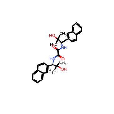 CC(C)(O)[C@H](NC(=O)C(=O)N[C@H](c1ccc2ccccc2c1)C(C)(C)O)c1ccc2ccccc2c1